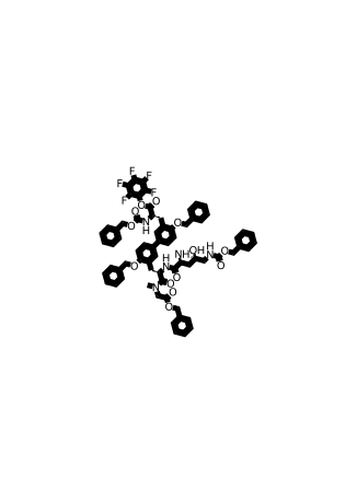 CN(CC(=O)OCc1ccccc1)C(=O)[C@H](Cc1cc(-c2ccc(OCc3ccccc3)c(C[C@H](NC(=O)OCc3ccccc3)C(=O)Oc3c(F)c(F)c(F)c(F)c3F)c2)ccc1OCc1ccccc1)NC(=O)[C@@H](N)C[C@@H](O)CNC(=O)OCc1ccccc1